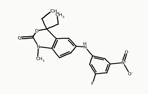 CCC1(CC)OC(=O)N(C)c2ccc(Nc3cc(F)cc([N+](=O)[O-])c3)cc21